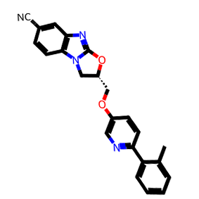 Cc1ccccc1-c1ccc(OC[C@@H]2Cn3c(nc4cc(C#N)ccc43)O2)cn1